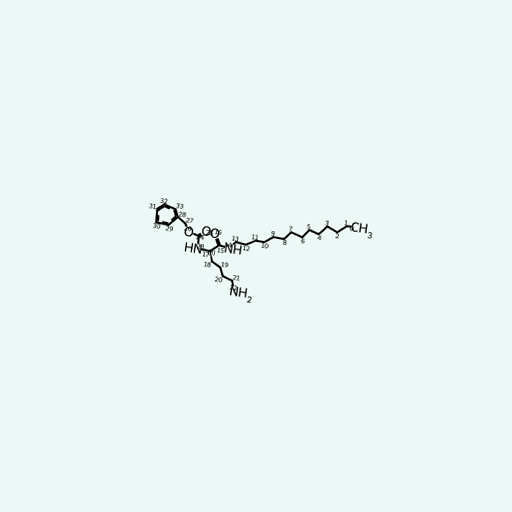 CCCCCCCCCCCCCCNC(=O)[C@@H](CCCCN)NC(=O)OCc1ccccc1